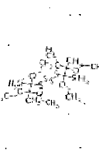 CCOC(C)(OCC)C([SiH3])(OCC)SSSSC([SiH3])(OCC)C(C)(OCC)OCC